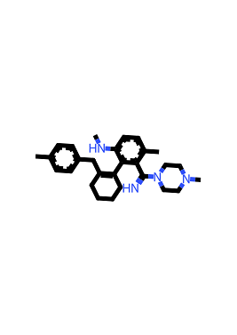 CNc1ccc(C)c(C(=N)N2CCN(C)CC2)c1C1=C(Cc2ccc(C)cc2)CCCC1